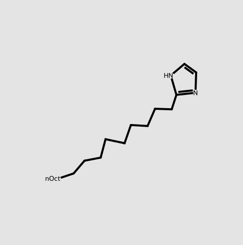 CCCCCCCCCCCCCCCCCc1ncc[nH]1